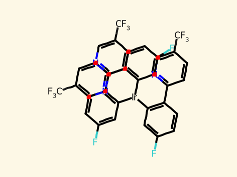 Fc1ccc(-c2ccc(C(F)(F)F)cn2)[c]([Ir]([c]2cc(F)ccc2-c2ccc(C(F)(F)F)cn2)[c]2cc(F)ccc2-c2ccc(C(F)(F)F)cn2)c1